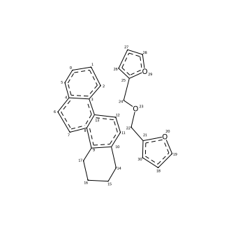 c1ccc2c(c1)ccc1c3c(ccc12)CCCC3.c1coc(COCc2ccco2)c1